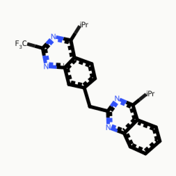 CC(C)c1nc(Cc2ccc3c(C(C)C)nc(C(F)(F)F)nc3c2)nc2ccccc12